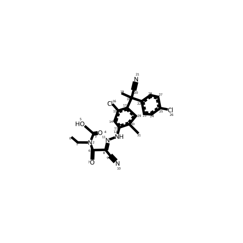 CCN(C(=O)O)C(=O)/C(C#N)=N/Nc1cc(Cl)c(C(C)(C#N)c2ccc(Cl)cc2)cc1C